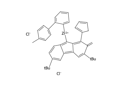 C=c1c(C(C)(C)C)cc2c(c1C1=CC=CC1)[C]([Zr+2][c]1ccccc1-c1ccc(C)cc1)=c1ccc(C(C)(C)C)cc1=2.[Cl-].[Cl-]